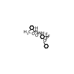 Cc1ccccc1C(=O)NC(=O)Nc1ccc(OCc2ccccc2)c(C(F)(F)F)c1